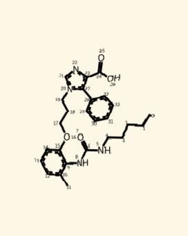 CCCCCNC(=O)Nc1c(C)cccc1OCCCn1cnc(C(=O)O)c1-c1ccccc1